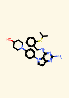 CC(C)Sc1ccccc1CNc1nc(N)nc2ccn(-c3ccc(N4CCC(O)CC4)cc3)c12